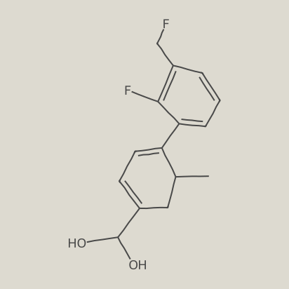 CC1CC(C(O)O)=CC=C1c1cccc(CF)c1F